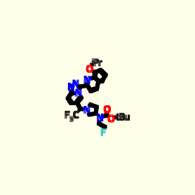 CC(C)Oc1cccc2ccc(-c3nnc4ccc([C@@H](N5CC[C@H](N(CCF)C(=O)OC(C)(C)C)C5)C(F)(F)F)cn34)nc12